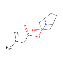 CN(C)CC(=O)OC1CC2CCC(C1)N2C=O